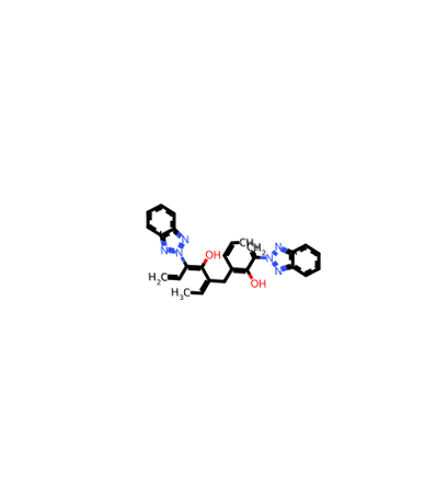 C=C/C(=C(O)\C(=C/C)CC(/C=C\C)=C(\O)C(=C)n1nc2ccccc2n1)n1nc2ccccc2n1